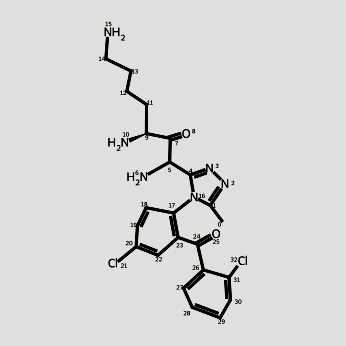 Cc1nnc(C(N)C(=O)[C@@H](N)CCCCN)n1-c1ccc(Cl)cc1C(=O)c1ccccc1Cl